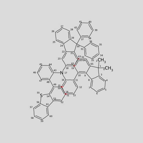 CC1(C)c2ccccc2-c2c(-c3ccccc3N(c3ccc4c(c3)-c3ccccc3C4(c3ccccc3)c3ccccc3)c3ccccc3-c3cccc4c3sc3ccccc34)cccc21